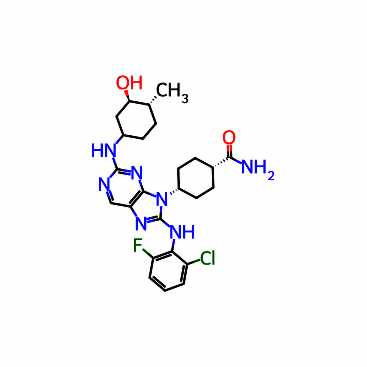 C[C@@H]1CCC(Nc2ncc3nc(Nc4c(F)cccc4Cl)n([C@H]4CC[C@@H](C(N)=O)CC4)c3n2)C[C@H]1O